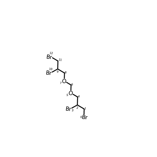 BrCC(Br)COCOCC(Br)CBr